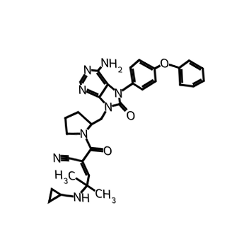 CC(C)(C=C(C#N)C(=O)N1CCCC1Cn1c(=O)n(-c2ccc(Oc3ccccc3)cc2)c2c(N)ncnc21)NC1CC1